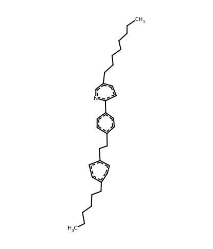 CCCCCCCCc1ccc(-c2ccc(CCc3ccc(CCCCCC)cc3)cc2)nc1